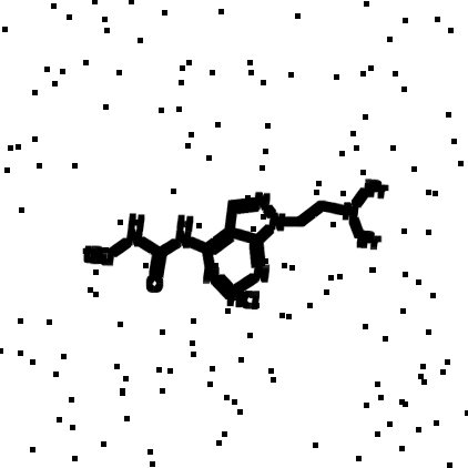 CC(C)N(CCn1ncc2c(NC(=O)NC(C)(C)C)ncnc21)C(C)C.Cl